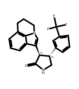 O=C1NC[C@@H](c2cccc(C(F)(F)F)c2)[C@@H]1c1cn2c3c(cccc13)CCC2